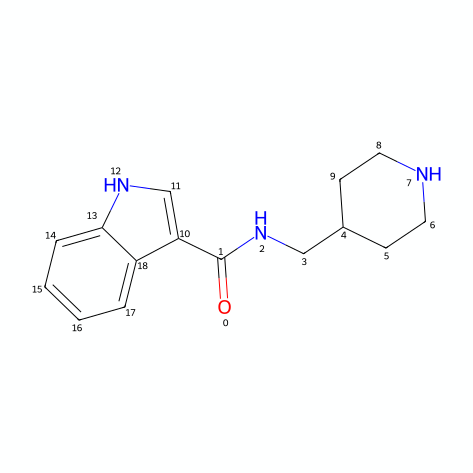 O=C(NCC1CCNCC1)c1c[nH]c2ccccc12